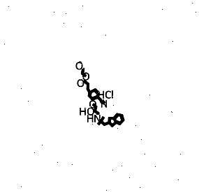 COCCOC(=O)CCc1ccc(C#N)c(OCC(O)CNC(C)(C)CC2Cc3ccccc3C2)c1.Cl